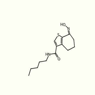 CCCCCNC(=O)c1csc2c1CCC/C2=N/O